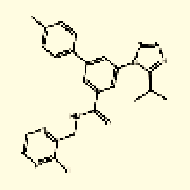 Cc1ccc(-c2cc(C(=O)NCc3nccnc3Cl)cc(-n3nnnc3C(C)C)c2)cc1